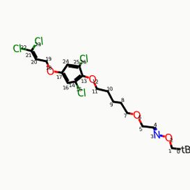 CC(C)(C)CON=CCOCCCCCOc1c(Cl)cc(OCC=C(Cl)Cl)cc1Cl